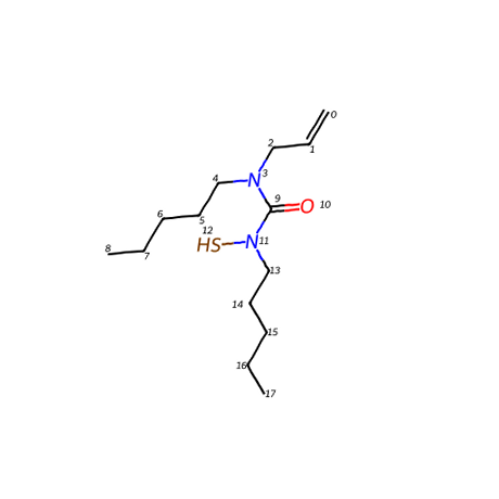 C=CCN(CCCCC)C(=O)N(S)CCCCC